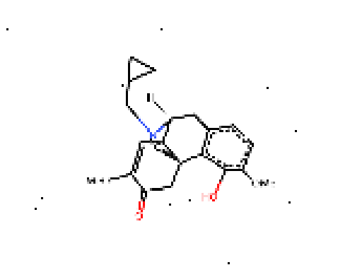 COC1=CC2[C@@H]3Cc4ccc(OC)c(O)c4[C@]2(CCN3CC2CC2)CC1=O